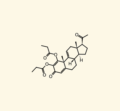 CCC(=O)OC1=C(OC(=O)CC)[C@@]2(C)C(=CC1=O)CC[C@@H]1C2=CC[C@]2(C)[C@@H](C(C)=O)CC[C@@H]12